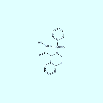 O=C(NO)C1c2ccccc2CCN1S(=O)(=O)c1ccccc1